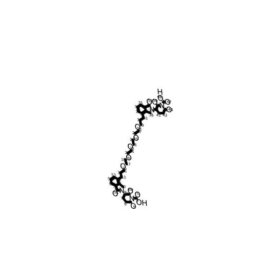 O=C(O)N1C(=O)CCC(N2Cc3c(CCCOCCOCCOCCOCCOCCCc4cccc5c4CN(C4CCC(=O)N(C(=O)O)C4=O)C5=O)cccc3C2=O)C1=O